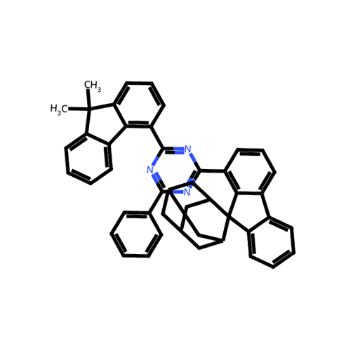 CC1(C)c2ccccc2-c2c(-c3nc(-c4ccccc4)nc(-c4cccc5c4C4(c6ccccc6-5)C5CC6CC(C5)CC4C6)n3)cccc21